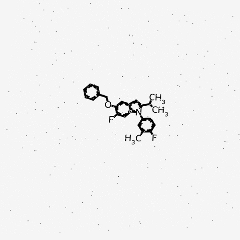 Cc1cc(-n2c(C(C)C)cc3cc(OCc4ccccc4)c(F)cc32)ccc1F